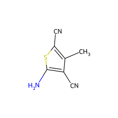 Cc1c(C#N)sc(N)c1C#N